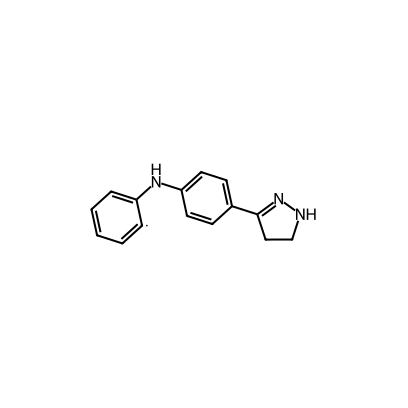 [c]1ccccc1Nc1ccc(C2=NNCC2)cc1